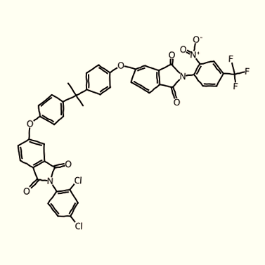 CC(C)(c1ccc(Oc2ccc3c(c2)C(=O)N(c2ccc(Cl)cc2Cl)C3=O)cc1)c1ccc(Oc2ccc3c(c2)C(=O)N(c2ccc(C(F)(F)F)cc2[N+](=O)[O-])C3=O)cc1